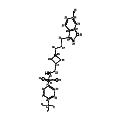 CC(C)(C)c1ccc(S(=O)(=O)NCC2CN(CCCc3noc4cc(F)ccc34)C2)cc1